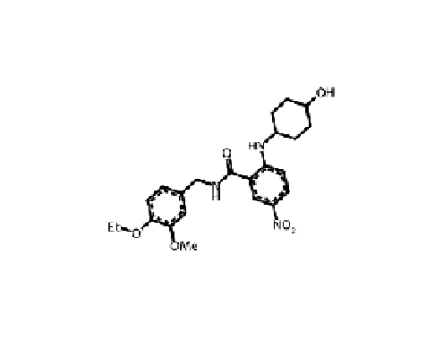 CCOc1ccc(CNC(=O)c2cc([N+](=O)[O-])ccc2NC2CCC(O)CC2)cc1OC